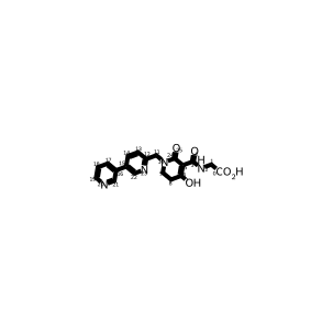 O=C(O)CNC(=O)C1=C(O)CCN(Cc2ccc(-c3cccnc3)cn2)C1=O